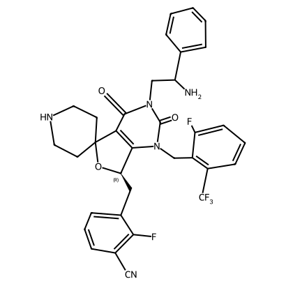 N#Cc1cccc(C[C@H]2OC3(CCNCC3)c3c2n(Cc2c(F)cccc2C(F)(F)F)c(=O)n(CC(N)c2ccccc2)c3=O)c1F